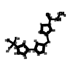 CNC(=O)c1cnn(Cc2ccc(-c3noc(C(F)(F)F)n3)s2)c1